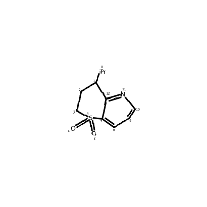 CC(C)C1CCS(=O)(=O)c2cccnc21